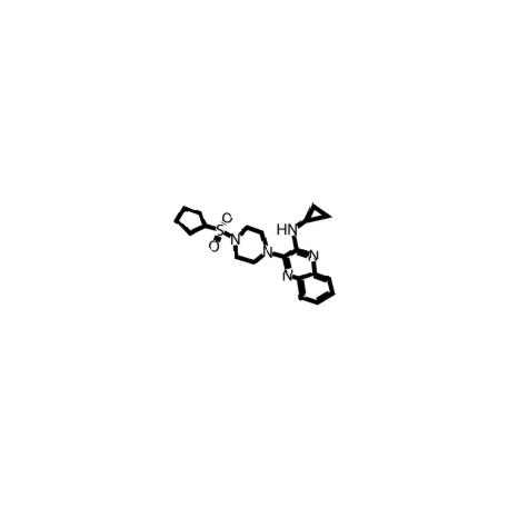 O=S(=O)(C1CCCC1)N1CCN(c2nc3ccccc3nc2NC2CC2)CC1